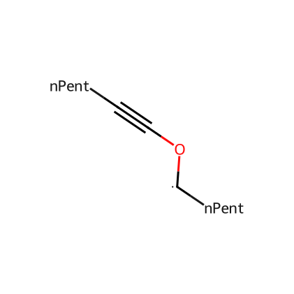 CCCCCC#CO[CH]CCCCC